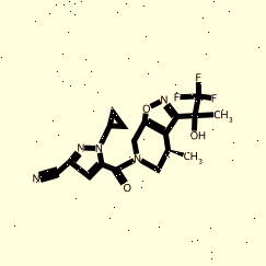 C[C@H]1CN(C(=O)c2cc(C#N)nn2C2CC2)Cc2onc(C(C)(O)C(F)(F)F)c21